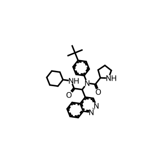 CC(C)(C)c1ccc(N(C(=O)C2CCCN2)C(C(=O)NC2CCCCC2)c2cnnc3ccccc23)cc1